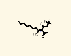 CCCCCCC/C(O)=C(/C(C)=O)C(=O)CC(F)(F)F